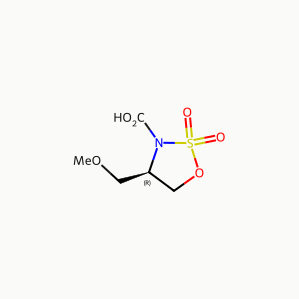 COC[C@@H]1COS(=O)(=O)N1C(=O)O